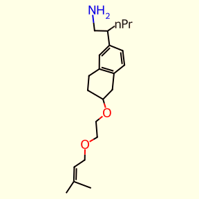 CCCC(CN)c1ccc2c(c1)CCC(OCCOCC=C(C)C)C2